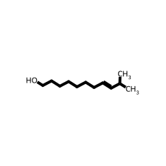 CC(C)C=CCCCCCCCO